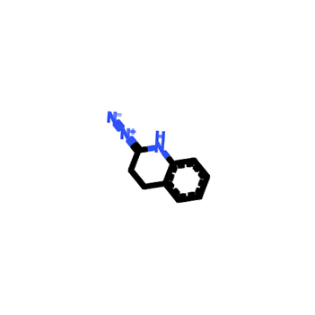 [N-]=[N+]=C1CCc2ccccc2N1